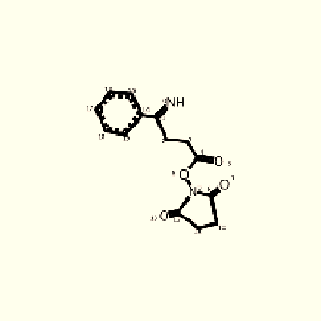 N=C(CCC(=O)ON1C(=O)CCC1=O)c1ccccc1